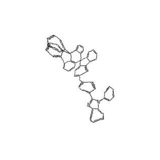 c1ccc(-n2c(-c3ccc(-c4ccc5c(c4)-c4ccccc4C54c5ccccc5C5(c6ccccc6)c6ccccc6-c6cccc4c65)cc3)nc3ccccc32)cc1